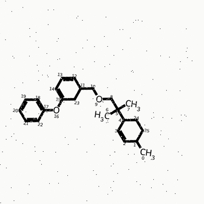 CC1C=CC(C(C)(C)COCC2C=CC=C(Oc3ccccc3)C2)CC1